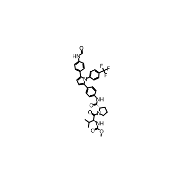 COC(=O)N[C@H](C(=O)N1CCC[C@H]1C(=O)Nc1ccc(-c2ccc(-c3ccc(NC=O)cc3)n2-c2ccc(C(F)(F)F)cc2)cc1)C(C)C